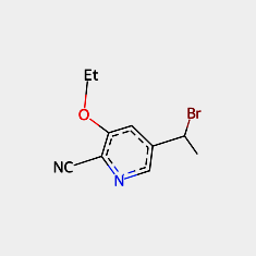 CCOc1cc(C(C)Br)cnc1C#N